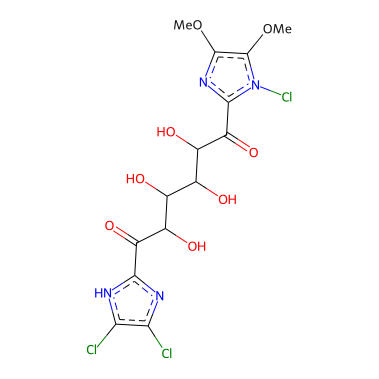 COc1nc(C(=O)C(O)C(O)C(O)C(O)C(=O)c2nc(Cl)c(Cl)[nH]2)n(Cl)c1OC